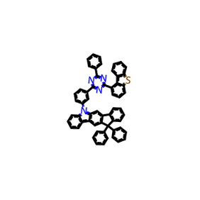 c1ccc(-c2nc(-c3cccc(-n4c5ccccc5c5cc6c(cc54)-c4ccccc4C6(c4ccccc4)c4ccccc4)c3)nc(-c3cccc4sc5ccccc5c34)n2)cc1